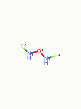 FNONF